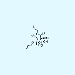 C=CCOC(=O)C(CCCC)C(CCCC)(C(=O)OCC=C)P(=O)(O)O